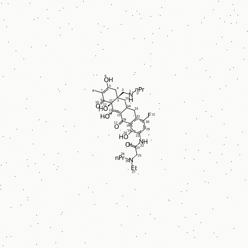 CCCNC[C@]12CC(O)=C(C)C(=O)[C@@]1(O)C(O)=C1C(=O)c3c(O)c(NC(=O)CN(CC)CCC)cc(F)c3CC1C2